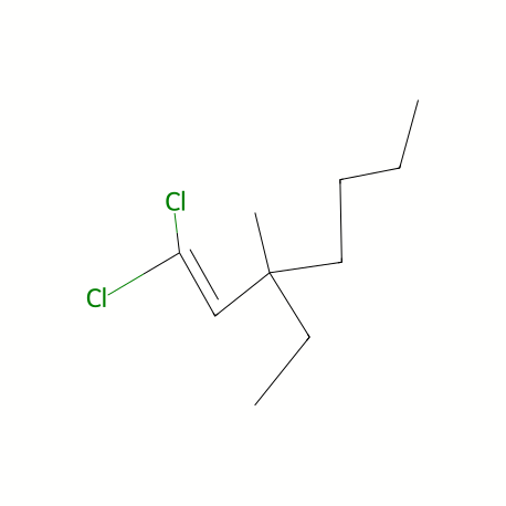 CCCCC(C)(C=C(Cl)Cl)CC